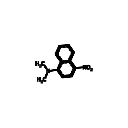 CN(C)c1ccc([N+](=O)[O-])c2ccccc12